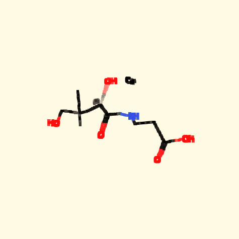 CC(C)(CO)[C@H](O)C(=O)NCCC(=O)O.[Ca]